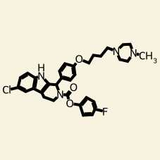 CN1CCN(CCCCOc2ccc(C3c4[nH]c5ccc(Cl)cc5c4CCN3C(=O)Oc3ccc(F)cc3)cc2)CC1